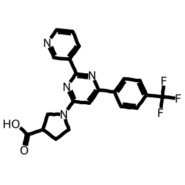 O=C(O)C1CCN(c2cc(-c3ccc(C(F)(F)F)cc3)nc(-c3cccnc3)n2)C1